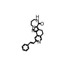 O=C1NCCCn2nc3c(c21)CCc1cnc(C=Cc2ccccc2)cc1-3